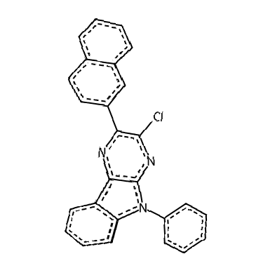 Clc1nc2c(nc1-c1ccc3ccccc3c1)c1ccccc1n2-c1ccccc1